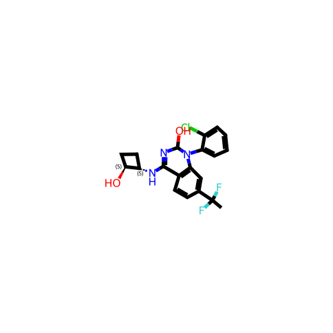 CC(F)(F)c1ccc2c(c1)N(c1ccccc1Cl)C(O)N=C2N[C@H]1CC[C@@H]1O